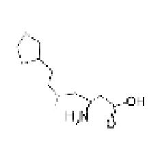 C[C@H](CCC1CCCC1)C[C@H](N)CC(=O)O